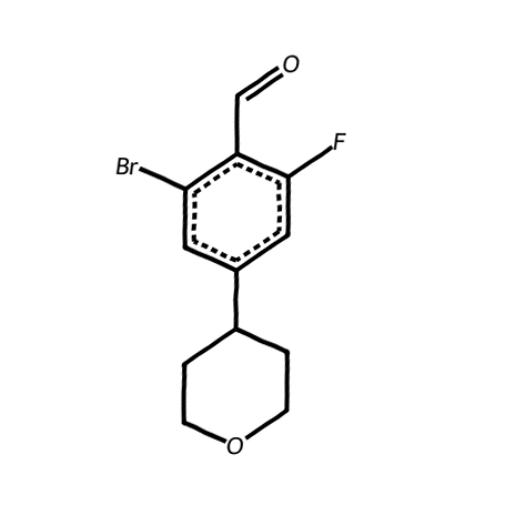 O=Cc1c(F)cc(C2CCOCC2)cc1Br